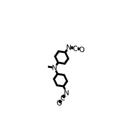 CN(C1CCC(N=C=O)CC1)C1CCC(N=C=O)CC1